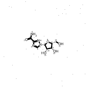 NC(=O)c1ncn([C@@H]2O[C@H](CO)[C@H](O)[C@@H]2O)n1